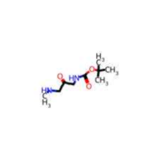 CNCC(=O)CNC(=O)OC(C)(C)C